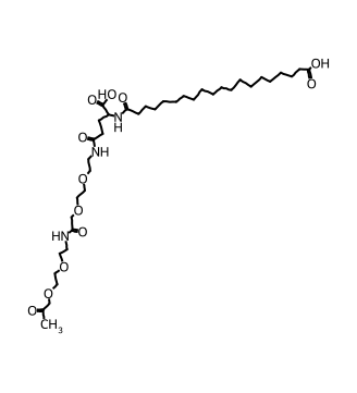 CC(=O)COCCOCCNC(=O)COCCOCCNC(=O)CCC(NC(=O)CCCCCCCCCCCCCCCCCCC(=O)O)C(=O)O